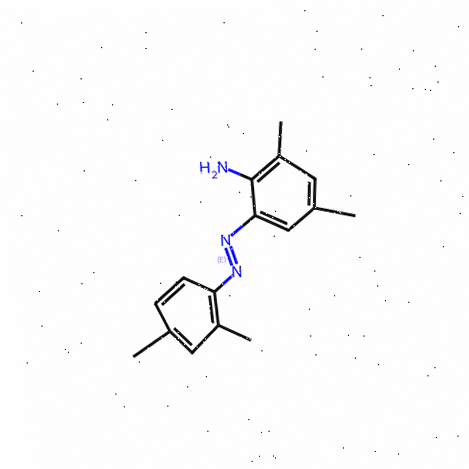 Cc1ccc(/N=N/c2cc(C)cc(C)c2N)c(C)c1